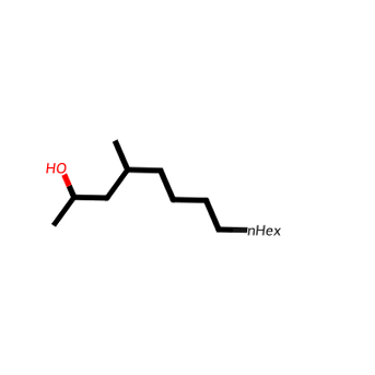 CCCCCCCCCCC(C)CC(C)O